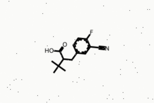 CC(C)(C)C(Cc1ccc(F)c(C#N)c1)C(=O)O